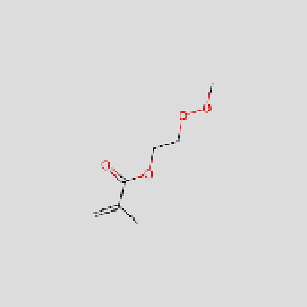 C=C(C)C(=O)OCCOOC